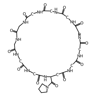 O=C1CNC(=O)CNC(=O)CNC(=O)CNC(=O)CNC(=O)CC(C(=O)N2CCCC2)NC(=O)CNC(=O)CNC(=O)CNC(=O)CNC(=O)CN1